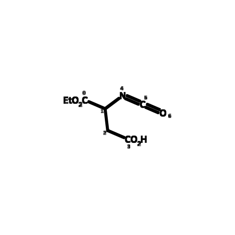 CCOC(=O)C(CC(=O)O)N=C=O